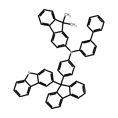 CC1(C)c2ccccc2-c2ccc(N(c3ccc(C4(c5ccc6sc7ccccc7c6c5)c5ccccc5-c5ccccc54)cc3)c3cccc(-c4ccccc4)c3)cc21